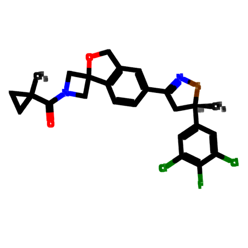 O=C(N1CC2(C1)OCc1cc(C3=NS[C@@](c4cc(Cl)c(F)c(Cl)c4)(C(F)(F)F)C3)ccc12)C1(C(F)(F)F)CC1